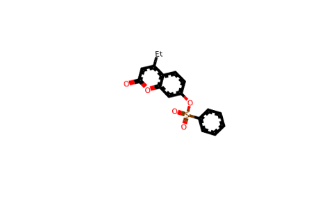 CCc1cc(=O)oc2cc(OS(=O)(=O)c3ccccc3)ccc12